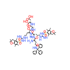 Cc1c(C)c(S(=O)(=O)NC(=N)NCCC[C@H](NC(=O)[C@H](CCCNC(=N)NS(=O)(=O)c2c(C)c(C)c3c(c2C)CC(C)(C)O3)NC(=O)[C@@H](N)CCC(=O)NC(c2ccccc2)(c2ccccc2)c2ccccc2)C(=O)N[C@@H](C)C(=O)N[C@@H](CC(=O)O)C(=O)O)c(C)c2c1OC(C)(C)C2